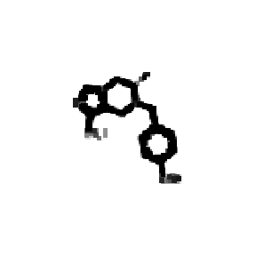 COc1ccc(CN2Cc3c(C(=O)O)ncn3C[C@@H]2C)cc1